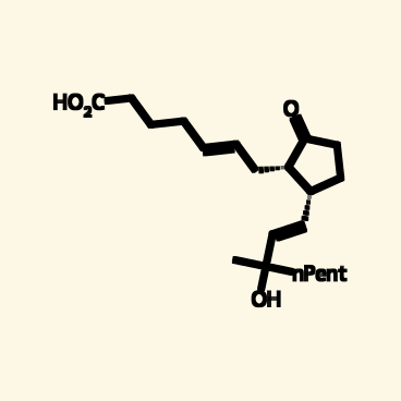 CCCCCC(C)(O)C=C[C@H]1CCC(=O)[C@H]1CC=CCCCC(=O)O